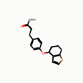 COC(=O)CCc1ccc(OC2CCCc3sccc32)cc1